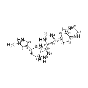 CN1C=C(C2=CC[C@H]3NN=C(C4=CC(N5CCC6NCC=N[C@H]6C5)=NCN4)[C@H]3C2)CN1